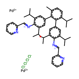 Cc1ccc(C(C)C)c(-c2cc(C(C)C)c(/N=C/c3ccccn3)c(C(C)C)c2)c1-c1cc(C(C)C)c(/N=C/c2ccccn2)c(C(C)C)c1.[Cl-].[Cl-].[Cl-].[Cl-].[Pd+2].[Pd+2]